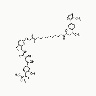 Cc1ncsc1-c1ccc([C@@H](C)CC(=O)NCCCCCCCCCNC(=O)COc2ccc3c(c2)[C@H](NC(=O)C(=N)/C=C(\O)c2ccc(C(=O)N(C)C)c(O)c2)CC3)cc1